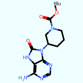 CC(C)(C)OC(=O)N1CCC[C@@H](n2c(=O)[nH]c3c(N)ncnc32)C1